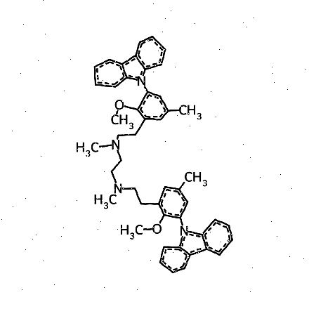 COc1c(CCN(C)CCN(C)CCc2cc(C)cc(-n3c4ccccc4c4ccccc43)c2OC)cc(C)cc1-n1c2ccccc2c2ccccc21